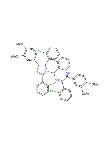 COc1ccc(C(=N)/C(=N\C(c2ccccc2Cl)n2c(-c3ccccc3Cl)nc(-c3ccc(OC)c(OC)c3)c2-c2ccccc2Cl)c2ccccc2Cl)cc1OC